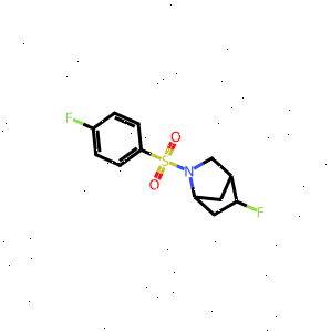 O=S(=O)(c1ccc(F)cc1)N1CC2CC1CC2F